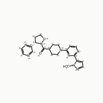 Cn1nccc1-c1nccc(N2CCC(C(=O)N3OCC[C@H]3c3cnccn3)CC2)n1